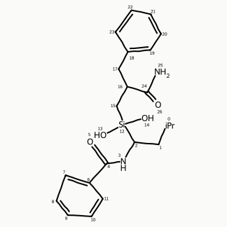 CC(C)CC(NC(=O)c1ccccc1)[Si](O)(O)CC(Cc1ccccc1)C(N)=O